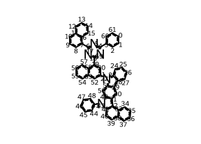 c1ccc(-c2nc(-c3cccc4ccccc34)nc(-c3cc(-n4c5ccccc5c5cc6c7c8ccccc8ccc7n(-c7ccccc7)c6cc54)cc4ccccc34)n2)cc1